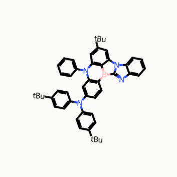 CC(C)(C)c1ccc(N(c2ccc(C(C)(C)C)cc2)c2ccc3c(c2)N(c2ccccc2)c2cc(C(C)(C)C)cc4c2B3c2nc3ccccc3n2-4)cc1